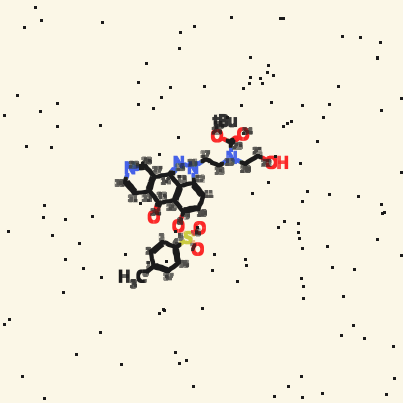 Cc1ccc(S(=O)(=O)Oc2ccc3c4c(nn3CCN(CCO)C(=O)OC(C)(C)C)-c3cnccc3C(=O)c24)cc1